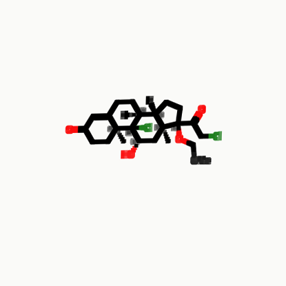 COCO[C@]1(C(=O)CCl)CC[C@H]2[C@@H]3CCC4=CC(=O)CC[C@]4(C)[C@@]3(Cl)[C@@H](O)C[C@@]21C